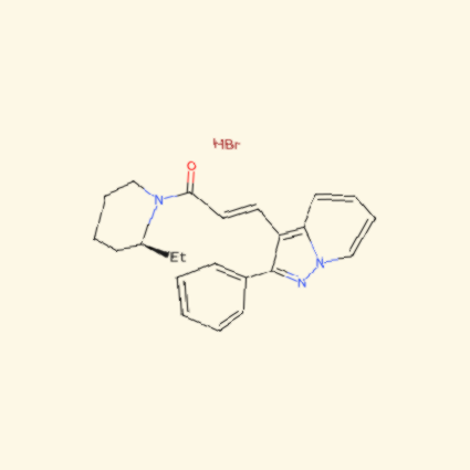 Br.CC[C@H]1CCCCN1C(=O)C=Cc1c(-c2ccccc2)nn2ccccc12